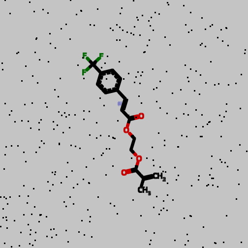 C=C(C)C(=O)OCCOC(=O)/C=C/c1ccc(C(F)(F)F)cc1